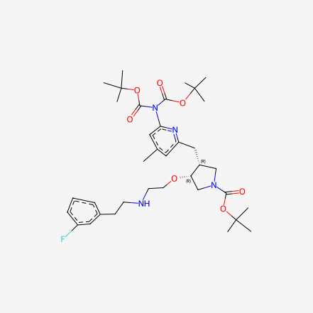 Cc1cc(C[C@@H]2CN(C(=O)OC(C)(C)C)C[C@@H]2OCCNCCc2cccc(F)c2)nc(N(C(=O)OC(C)(C)C)C(=O)OC(C)(C)C)c1